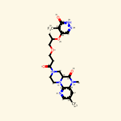 CC(COCCC(=O)N1CCN2c3ncc(C(F)(F)F)cc3N(C)C(=O)C2C1)Oc1cn[nH]c(=O)c1C(F)(F)F